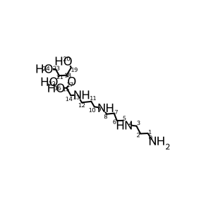 NCCCNCCCCNCCCNCC(O)OC(CO)C(O)CO